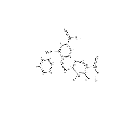 COc1cc(C(N)=O)ccc1[C@@H](Oc1ccc2c(c1C)OCCC2=O)c1ccncc1